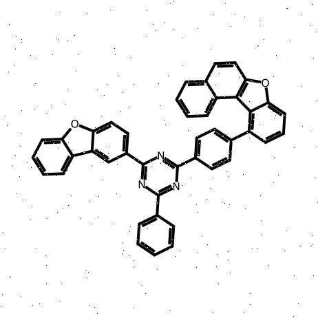 c1ccc(-c2nc(-c3ccc(-c4cccc5oc6ccc7ccccc7c6c45)cc3)nc(-c3ccc4oc5ccccc5c4c3)n2)cc1